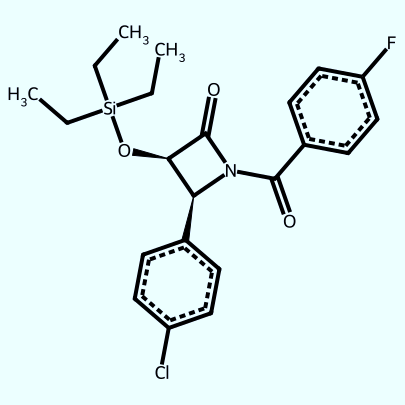 CC[Si](CC)(CC)O[C@H]1C(=O)N(C(=O)c2ccc(F)cc2)[C@H]1c1ccc(Cl)cc1